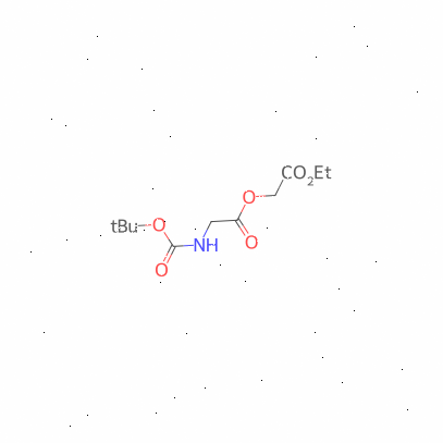 CCOC(=O)COC(=O)CNC(=O)OC(C)(C)C